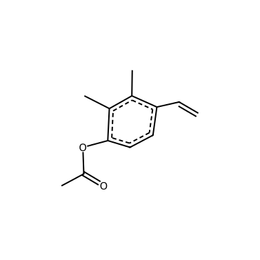 C=Cc1ccc(OC(C)=O)c(C)c1C